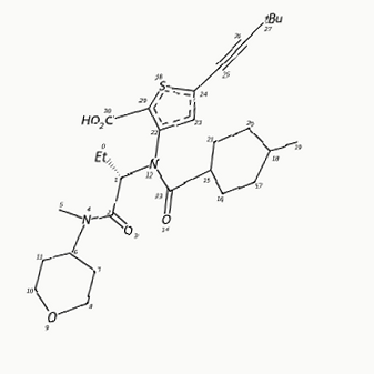 CC[C@@H](C(=O)N(C)C1CCOCC1)N(C(=O)C1CCC(C)CC1)c1cc(C#CC(C)(C)C)sc1C(=O)O